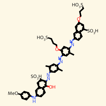 COc1ccc(Nc2ccc3c(O)c(N=Nc4cc(C)c(N=Nc5cc(C)c(N=Nc6ccc7c(S(=O)(=O)O)cc(OCCCS(=O)(=O)O)cc7c6)cc5OCCCS(=O)(=O)O)cc4C)c(S(=O)(=O)O)cc3c2)cc1